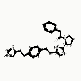 O=C(Cc1ccccc1)N1CCC[C@H]1C1NC=C(CCc2ccc(CCC3CNC=N3)cc2)N1